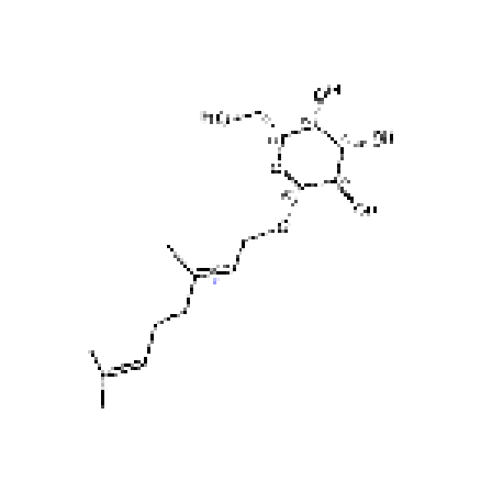 CC(C)=CCC/C(C)=C/CO[C@@H]1O[C@H](CO)[C@H](O)[C@H](O)[C@H]1O